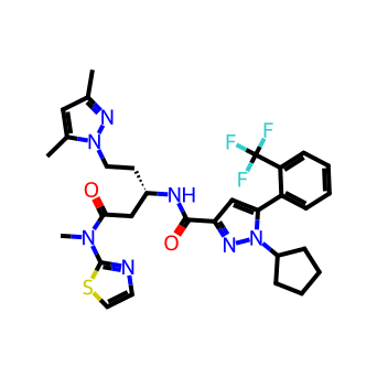 Cc1cc(C)n(CC[C@@H](CC(=O)N(C)c2nccs2)NC(=O)c2cc(-c3ccccc3C(F)(F)F)n(C3CCCC3)n2)n1